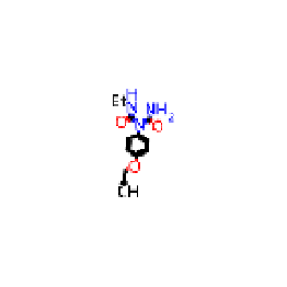 C#CCOc1ccc(N(C(N)=O)C(=O)NCC)cc1